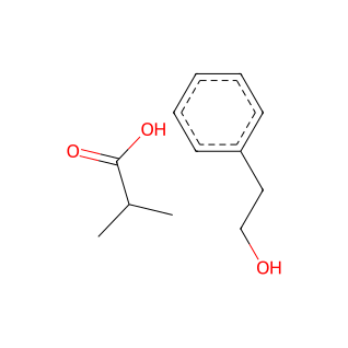 CC(C)C(=O)O.OCCc1ccccc1